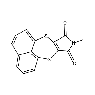 CN1C(=O)C2=C(Sc3cccc4cccc(c34)S2)C1=O